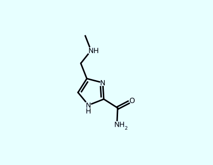 CNCc1c[nH]c(C(N)=O)n1